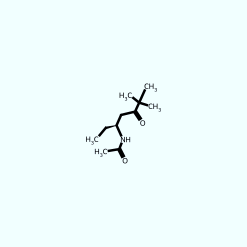 CC[C@@H](CC(=O)C(C)(C)C)NC(C)=O